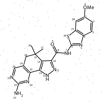 COc1ccc2nc(NC(=O)c3n[nH]c4c3C(C)(C)Cc3cnc(N)nc3-4)sc2c1